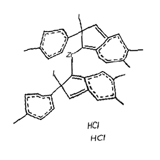 Cc1ccc(C2(I)C=c3cc(C)c(C)cc3=[C]2[Zr][C]2=c3cc(C)c(C)cc3=CC2(I)c2ccc(C)cc2)cc1.Cl.Cl